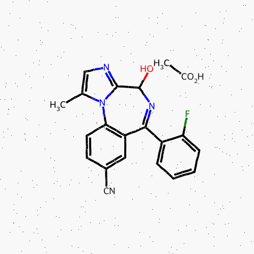 CC(=O)O.Cc1cnc2n1-c1ccc(C#N)cc1C(c1ccccc1F)=NC2O